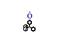 CN1CCN(c2ccc(C(c3ccccc3)C34CC5CC(CC(C5)C3)C4)cc2)CC1